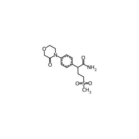 CS(=O)(=O)CCC(C(N)=O)c1ccc(N2CCOCC2=O)cc1